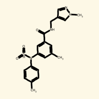 Cc1ccc(N(c2cc(C)cc(C(=O)NCc3cnn(C)c3)c2)[SH](=O)=O)cc1